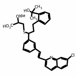 COC(CSC(CCc1ccccc1C(C)(C)O)c1cccc(C=Cc2ccc3ccc(Cl)cc3n2)c1)C(=O)O